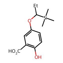 CCC(Oc1ccc(O)c(C(=O)O)c1)[Si](C)(C)C